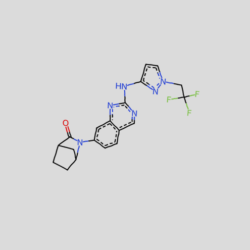 O=C1C2CCC(C2)N1c1ccc2cnc(Nc3ccn(CC(F)(F)F)n3)nc2c1